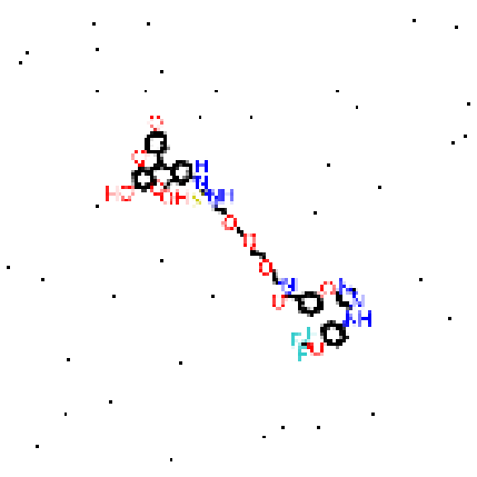 O=C(NCCOCCOCCOCCNC(=S)Nc1ccc(-c2c3ccc(=O)cc-3oc3cc(O)ccc23)c(C(=O)O)c1)c1cccc(Oc2cc(Nc3ccc(OC(F)(F)F)cc3)ncn2)c1